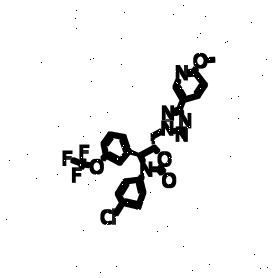 COc1ccc(-c2nnn(C[C@@H]3OC(=O)N(c4ccc(Cl)cc4)[C@H]3c3cccc(OC(F)(F)F)c3)n2)cn1